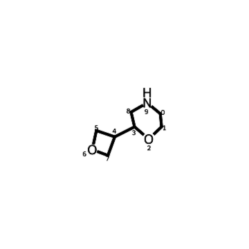 C1COC(C2COC2)CN1